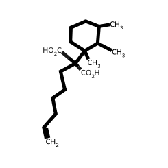 C=CCCCCC(C(=O)O)(C(=O)O)C1(C)CCCC(C)C1C